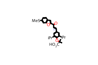 CSc1ccc2cc(C(=O)/C=C/c3cc(C(C)C)c(OC(C)(C)C(=O)O)c(C(C)C)c3)oc2c1